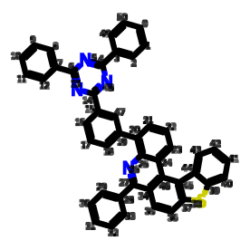 c1ccc(-c2nc(-c3ccccc3)nc(-c3cccc(-c4cccc5c4nc(-c4ccccc4)c4ccc6sc7ccccc7c6c45)c3)n2)cc1